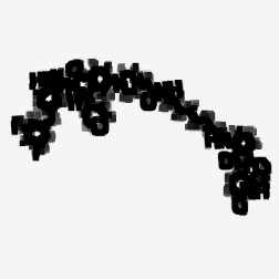 O=C(CN1CCN(c2ccc(C(=O)Nc3n[nH]c4ccc(Cc5cc(F)cc(F)c5)cc34)c(NC3CCOCC3)c2)CC1)NCCCCCCCCNc1cccc2c1C(=O)N(C1CCC(=O)NC1=O)C2=O